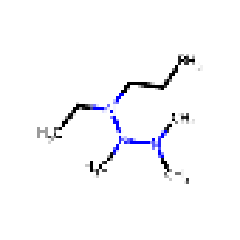 BCCN(CC)N(C)N(C)C